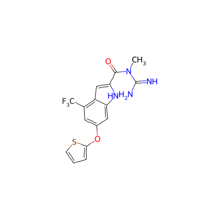 CN(C(=N)N)C(=O)c1cc2c(C(F)(F)F)cc(Oc3cccs3)cc2[nH]1